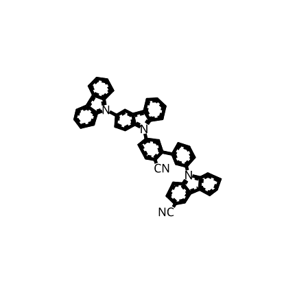 N#Cc1ccc2c(c1)c1ccccc1n2-c1cccc(-c2cc(-n3c4ccccc4c4cc(-n5c6ccccc6c6ccccc65)ccc43)ccc2C#N)c1